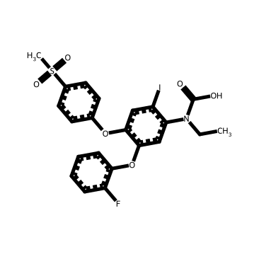 CCN(C(=O)O)c1cc(Oc2ccccc2F)c(Oc2ccc(S(C)(=O)=O)cc2)cc1I